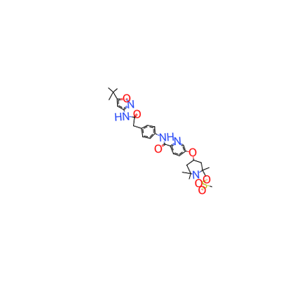 CC(C)(C)c1cc(NC(=O)Cc2ccc(NC(=O)c3ccc(OC4CC(C)(C)N(OS(C)(=O)=O)C(C)(C)C4)cn3)cc2)no1